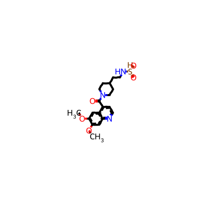 COc1cc2nccc(C(=O)N3CCC(CCN[SH](=O)=O)CC3)c2cc1OC